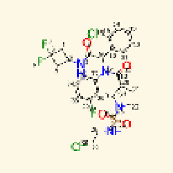 O=C(NC1CC(F)(F)C1)C(c1ccccc1Cl)N(C(=O)[C@H]1CCN(S(=O)(=O)NCCCl)C1)c1cccc(F)c1